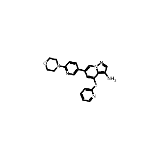 Nc1cnn2cc(-c3ccc(N4CCOCC4)nc3)cc(Sc3ccccn3)c12